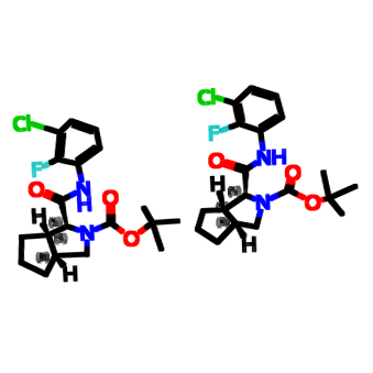 CC(C)(C)OC(=O)N1C[C@@H]2CCC[C@@H]2[C@H]1C(=O)Nc1cccc(Cl)c1F.CC(C)(C)OC(=O)N1C[C@@H]2CCC[C@@H]2[C@H]1C(=O)Nc1cccc(Cl)c1F